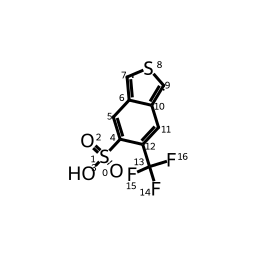 O=S(=O)(O)c1cc2[c]s[c]c2cc1C(F)(F)F